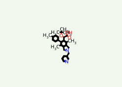 Cc1ccc(-c2c(C)c3c(c(C)c2C(OC(C)(C)C)C(=O)O)CN(Cc2cccnc2)C3)cc1